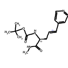 CNC(=O)[C@H](C/C=C/c1ccncc1)NC(=O)OC(C)(C)C